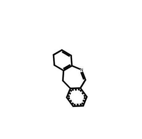 C1=CC2=C(CC1)Cc1ccccc1C=N2